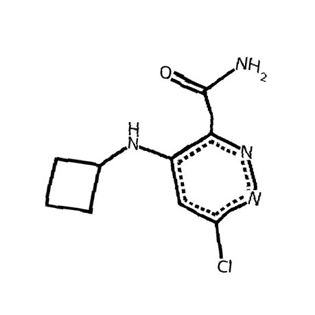 NC(=O)c1nnc(Cl)cc1NC1CCC1